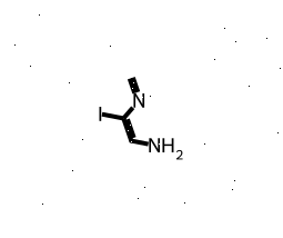 C=N/C(I)=C\N